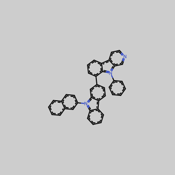 c1ccc(-n2c3cnccc3c3cccc(-c4ccc5c6ccccc6n(-c6ccc7ccccc7c6)c5c4)c32)cc1